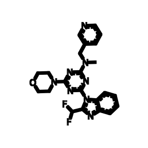 CN(Cc1cccnc1)c1nc(N2CCOCC2)nc(-n2c(C(F)F)nc3ccccc32)n1